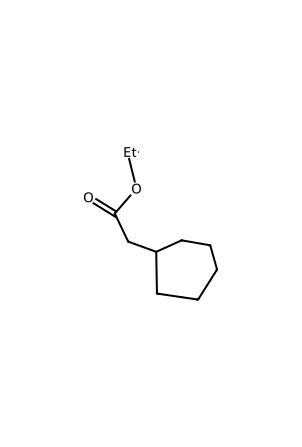 C[CH]OC(=O)CC1CCCCC1